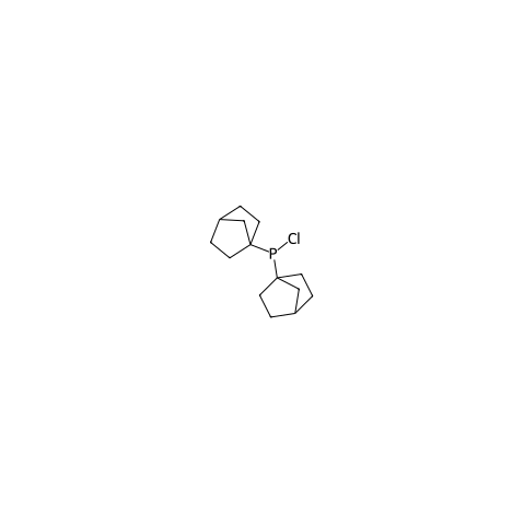 ClP(C12CCC(CC1)C2)C12CCC(CC1)C2